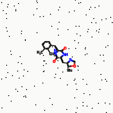 Cc1cccc(C=c2[nH]c(=O)c(=Cc3ncoc3C(C)(C)C)[nH]c2=O)c1C